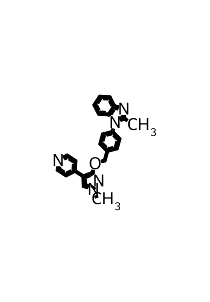 Cc1nc2ccccc2n1-c1ccc(COc2nn(C)cc2-c2ccncc2)cc1